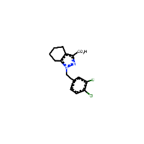 O=C(O)c1nn(Cc2ccc(Cl)c(Cl)c2)c2c1CCCC2